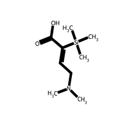 CN(C)C/C=C(/C(=O)O)[Si](C)(C)C